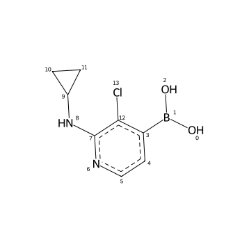 OB(O)c1ccnc(NC2CC2)c1Cl